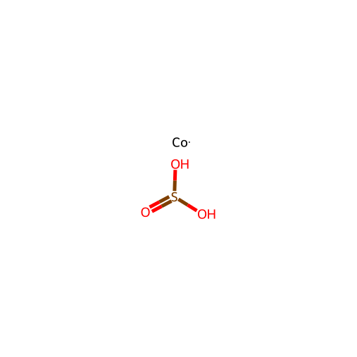 O=S(O)O.[Co]